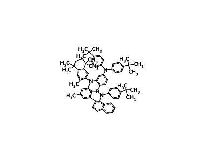 Cc1cc2c3c(c1)N(c1cc4c(cc1C)C(C)(C)CCC4(C)C)c1cc(N(c4ccc(C(C)(C)C)cc4)c4ccc(C(C)(C)C)cc4)ccc1B3N(c1ccc(C(C)(C)C)cc1)c1c-2ccc2ccccc12